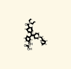 CCN(CC)C(=O)c1ccc(C(=C2CCN(Cc3cccs3)CC2)c2cccc(NC(=O)O)c2)cc1